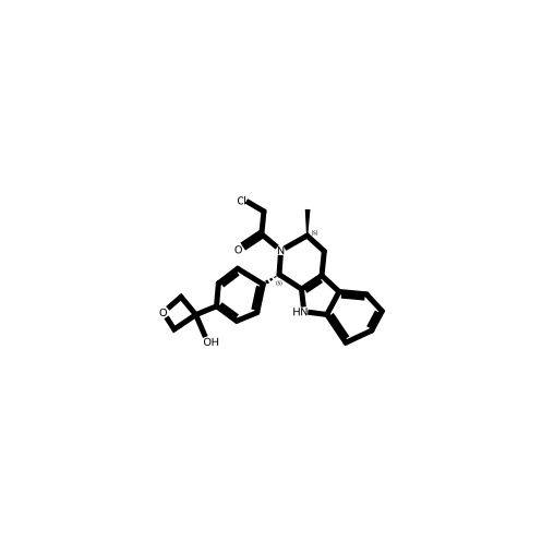 C[C@H]1Cc2c([nH]c3ccccc23)[C@H](c2ccc(C3(O)COC3)cc2)N1C(=O)CCl